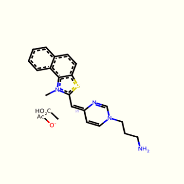 CC(=O)O.CC(=O)[O-].C[n+]1c(/C=C2/C=CN(CCCN)C=N2)sc2ccc3ccccc3c21